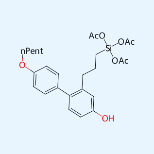 CCCCCOc1ccc(-c2ccc(O)cc2CCC[Si](OC(C)=O)(OC(C)=O)OC(C)=O)cc1